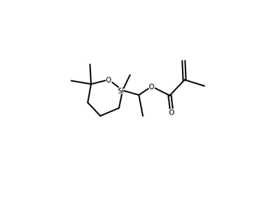 C=C(C)C(=O)OC(C)[Si]1(C)CCCC(C)(C)O1